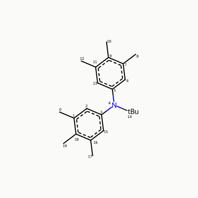 Cc1cc(N(c2cc(C)c(C)c(C)c2)C(C)(C)C)cc(C)c1C